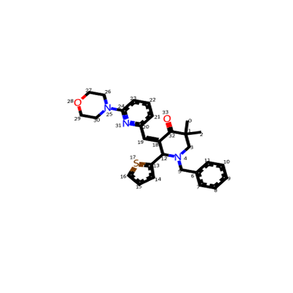 CC1(C)CN(Cc2ccccc2)C(c2cccs2)/C(=C/c2cccc(N3CCOCC3)n2)C1=O